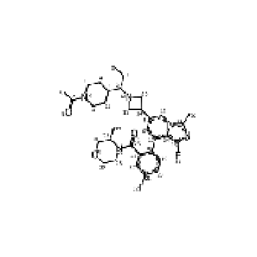 CC[C@H](C1CCN(C(C)=O)CC1)N1CC(c2cc(-c3ccc(F)cc3C(=O)N3CCOC[C@H]3C)c3c(F)nc(C)n3c2)C1